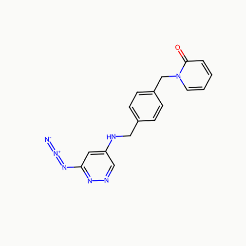 [N-]=[N+]=Nc1cc(NCc2ccc(Cn3ccccc3=O)cc2)cnn1